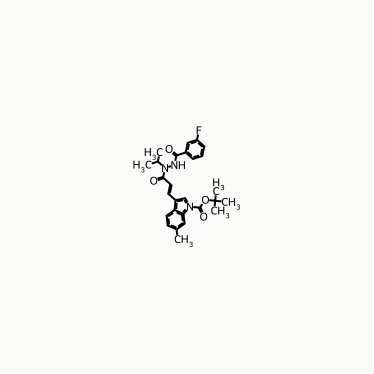 Cc1ccc2c(/C=C/C(=O)N(NC(=O)c3cccc(F)c3)C(C)C)cn(C(=O)OC(C)(C)C)c2c1